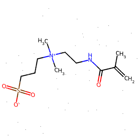 C=C(C)C(=O)NCC[N+](C)(C)CCCS(=O)(=O)[O-]